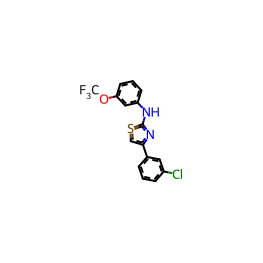 FC(F)(F)Oc1cccc(Nc2nc(-c3cccc(Cl)c3)cs2)c1